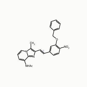 CC(=O)Nc1cccn2c(C)c(/C=C/c3ccc([N+](=O)[O-])c(OCc4ccccc4)c3)nc12